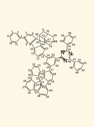 c1ccc(-c2ccc3c(c2)-c2ccc(-c4cc(-c5ccc6c(c5)C5(c7ccccc7-c7ccccc75)c5ccccc5-6)cc(-c5nc(-c6ccccc6)nc(-c6ccccc6)n5)c4)cc2C32C3CC4CC(C3)CC2C4)cc1